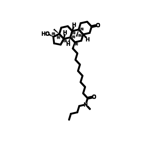 CCCCN(C)C(=O)CCCCCCCCC[C@@H]1C[C@H]2CC(=O)CC[C@]2(C)[C@H]2CC[C@]3(C)[C@@H](O)CC[C@H]3[C@H]12